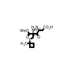 COC(=O)[C@@](N)(CSC1(C)CCC1)C(=O)[C@@H](N)CC(=O)O